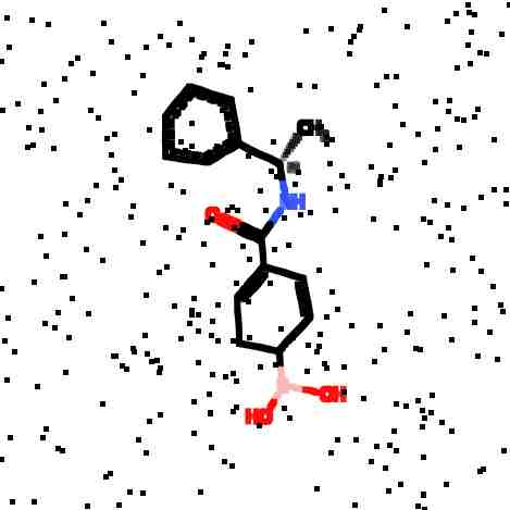 C[C@H](NC(=O)C1=CCC(B(O)O)C=C1)c1ccccc1